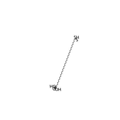 O=P(O)(O)CCCCCCCCCCCCCCCCCCCCCCCCCCCCCCCCCCCCC(=S)S